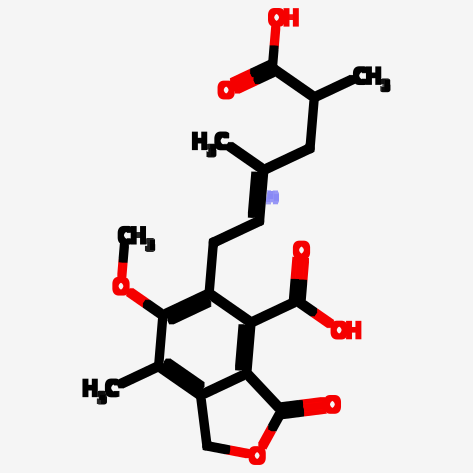 COc1c(C)c2c(c(C(=O)O)c1C/C=C(\C)CC(C)C(=O)O)C(=O)OC2